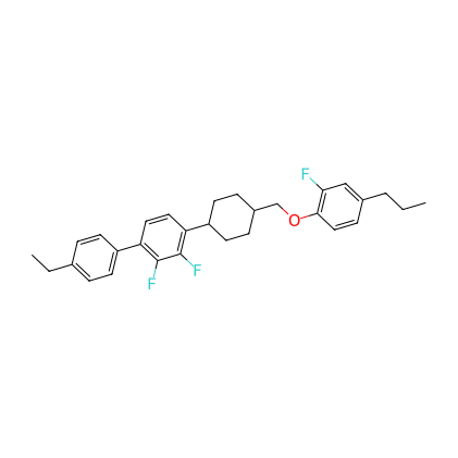 CCCc1ccc(OCC2CCC(c3ccc(-c4ccc(CC)cc4)c(F)c3F)CC2)c(F)c1